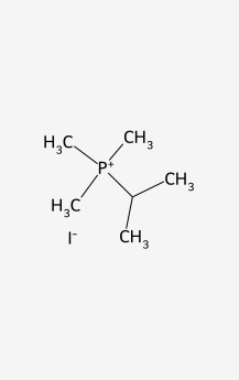 CC(C)[P+](C)(C)C.[I-]